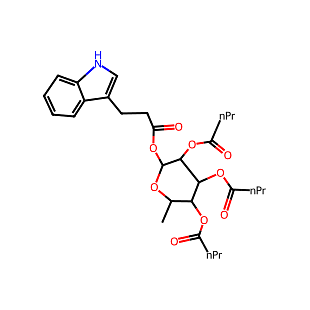 CCCC(=O)OC1C(C)OC(OC(=O)CCc2c[nH]c3ccccc23)C(OC(=O)CCC)C1OC(=O)CCC